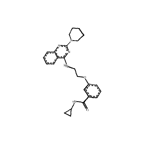 O=C(NC1CC1)c1cccc(OCCNc2nc(N3CCCCC3)nc3ccccc23)c1